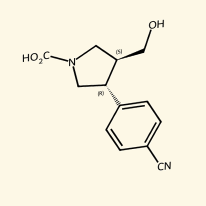 N#Cc1ccc([C@@H]2CN(C(=O)O)C[C@H]2CO)cc1